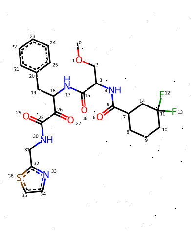 COCC(NC(=O)C1CCCC(F)(F)C1)C(=O)NC(Cc1ccccc1)C(=O)C(=O)NCc1nccs1